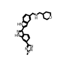 Cn1nnc(-c2ccc3c(-c4cc5cc(CNCC6CCOCC6)ccc5[nH]4)n[nH]c3c2)n1